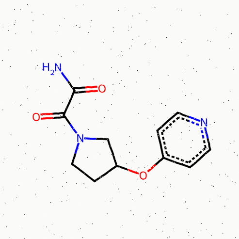 NC(=O)C(=O)N1CCC(Oc2ccncc2)C1